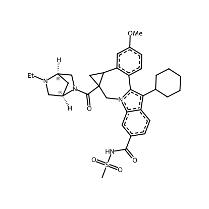 CCN1C[C@H]2C[C@@H]1CN2C(=O)C12CC1c1cc(OC)ccc1-c1c(C3CCCCC3)c3ccc(C(=O)NS(C)(=O)=O)cc3n1C2